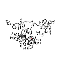 CCC(=O)CNNC(=O)CCCCCN(CCC[C@@H]1O[C@@H](C)[C@@H](O)[C@@H](O)[C@@H]1O)CCO[C@H]1O[C@H](CO[C@H]2O[C@H](CO)[C@@H](O)[C@H](O)[C@@H]2O)[C@@H](O)[C@H](O[C@H]2O[C@H](CO)[C@@H](O)[C@H](O)[C@@H]2O)[C@@H]1O